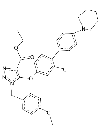 CCOC(=O)c1nnn(Cc2ccc(OC)cc2)c1Oc1ccc(-c2ccc(N3CCCCC3)cc2)c(Cl)c1